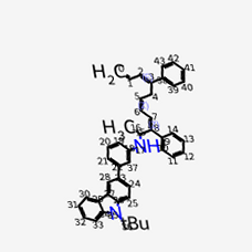 C=C/C=C(\C/C=C\C=C(\c1ccccc1)C(C)Nc1cccc(-c2ccc3c(c2)c2ccccc2n3C(C)(C)C)c1)c1ccccc1